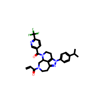 C=CC(=O)N1CCc2nn(-c3ccc(C(C)C)cc3)c3c2C(C1)N(C(=O)c1ccc(C(F)(F)F)nc1)CC3